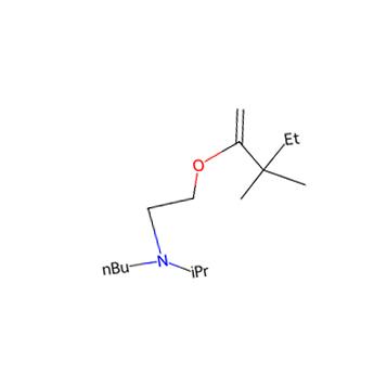 C=C(OCCN(CCCC)C(C)C)C(C)(C)CC